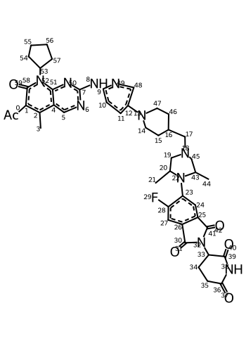 CC(=O)c1c(C)c2cnc(Nc3ccc(N4CCC(CN5CC(C)N(c6cc7c(cc6F)C(=O)N(C6CCC(=O)NC6=O)C7=O)C(C)C5)CC4)cn3)nc2n(C2CCCC2)c1=O